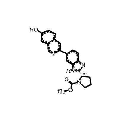 CC(C)(C)OC(=O)N1CCC[C@H]1c1nc2ccc(-c3cc4ccc(O)cc4cn3)cc2[nH]1